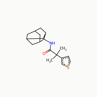 CC(C)(C(=O)NC1C2CC3CC(C2)CC1C3)c1ccsc1